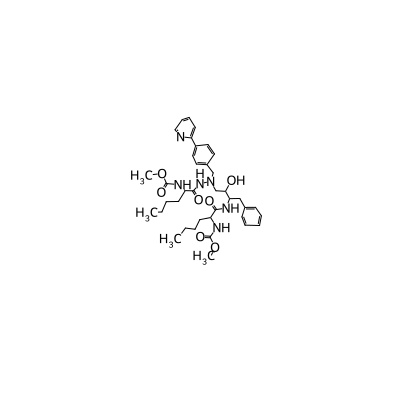 CCCCC(NC(=O)OC)C(=O)NC(Cc1ccccc1)C(O)CN(Cc1ccc(-c2ccccn2)cc1)NC(=O)C(CCCC)NC(=O)OC